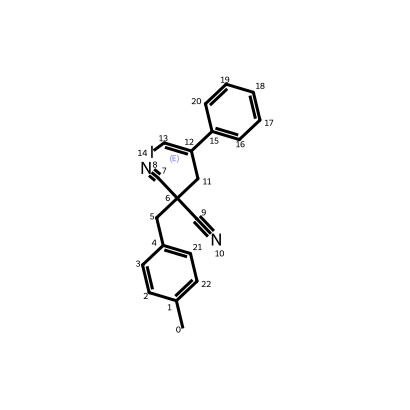 Cc1ccc(CC(C#N)(C#N)C/C(=C\I)c2ccccc2)cc1